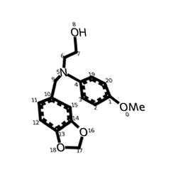 COc1ccc(N(CCO)Cc2ccc3c(c2)OCO3)cc1